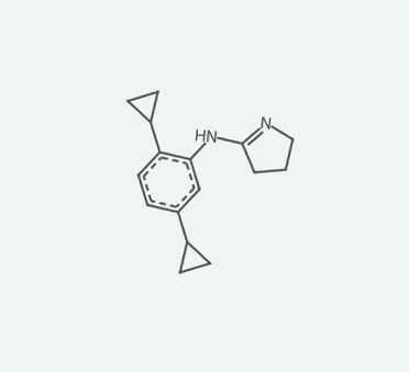 c1cc(C2CC2)c(NC2=NCCC2)cc1C1CC1